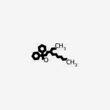 CCCCCCCC(CCC)CCC(C=O)(C1CCCCC1)C1CCCCC1